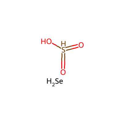 O=[SH](=O)O.[SeH2]